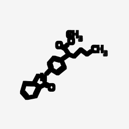 CCCCC(C(=O)OC)c1ccc(N2Cc3ccccc3C2=O)cc1